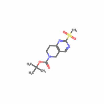 CC(C)(C)OC(=O)N1CCc2nc(S(C)(=O)=O)ncc2C1